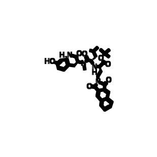 CC(C)C[C@H](N[C@H](CCN1C(=O)c2cc3ccccc3cc2C1=O)C(=O)OC(C)(C)C)C(=O)N(C)[C@@H](Cc1ccc(O)cc1)C(N)=O